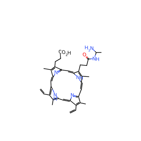 C=CC1=C(C)c2cc3[nH]c(cc4nc(cc5[nH]c(cc1n2)c(C)c5C=C)C(C)=C4CCC(=O)O)c(CCC(=O)NC(C)N)c3C